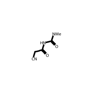 CNC(=O)NC(=O)CC#N